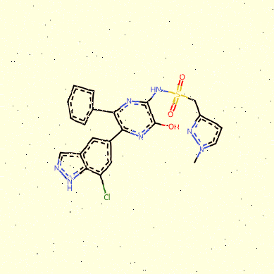 Cn1ccc(CS(=O)(=O)Nc2nc(-c3ccccc3)c(-c3cc(Cl)c4[nH]ncc4c3)nc2O)n1